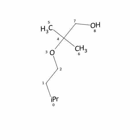 CC(C)CCOC(C)(C)CO